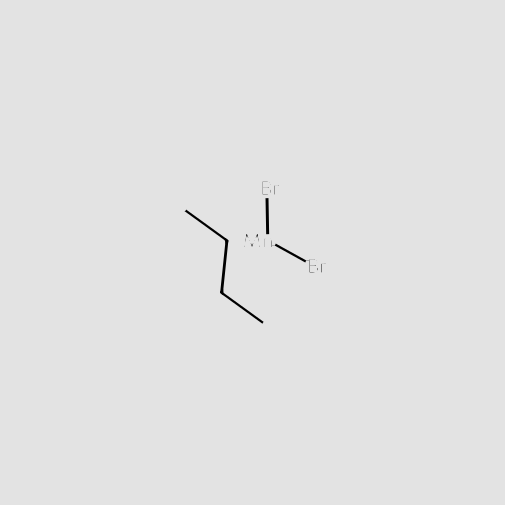 [Br][Mn][Br].[CH2]CCC